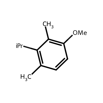 COc1ccc(C)c(C(C)C)c1C